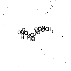 Cc1ccc2c3c(ccc2n1)OC[C@H](CN1CCC(Oc2ccc4c(c2)NC(=O)CO4)CC1)O3.Cl.Cl